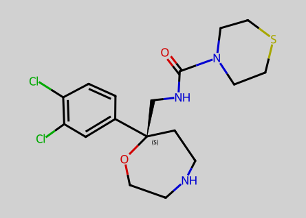 O=C(NC[C@@]1(c2ccc(Cl)c(Cl)c2)CCNCCO1)N1CCSCC1